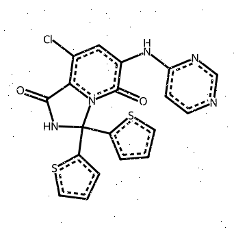 O=C1NC(c2cccs2)(c2cccs2)n2c1c(Cl)cc(Nc1ccncn1)c2=O